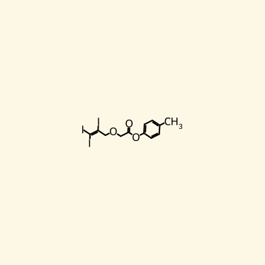 Cc1ccc(OC(=O)COCC(I)=C(I)I)cc1